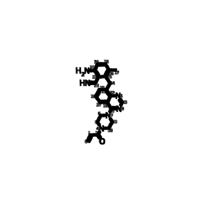 C=CC(=O)N1CCN(c2ncnc3c(Cc4c(C)ccc(N)c4C=N)cccc23)CC1